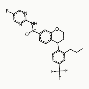 CCCc1cc(C(F)(F)F)ccc1C1CCOc2cc([S+]([O-])Nc3ncc(F)cn3)ccc21